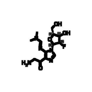 CN(C)C=Nc1c(C(=O)CN)ncn1[C@@H]1O[C@H](CO)[C@@H](O)[C@H]1F